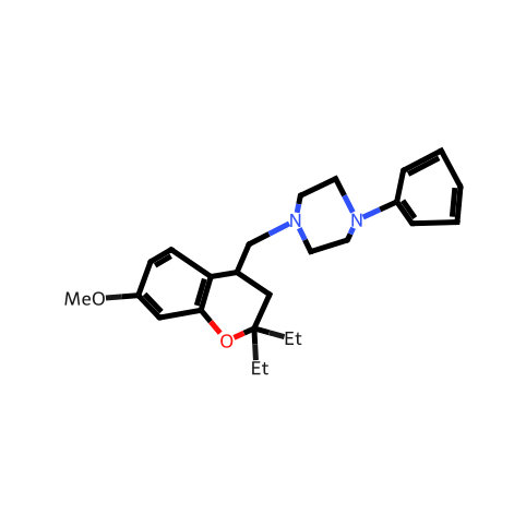 CCC1(CC)CC(CN2CCN(c3ccccc3)CC2)c2ccc(OC)cc2O1